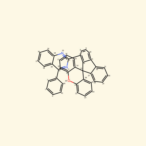 c1ccc(-c2nc(-c3cccc4c3C3(c5ccccc5Oc5ccccc53)c3ccccc3-4)nc3ccccc23)cc1